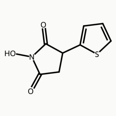 O=C1CC(c2cccs2)C(=O)N1O